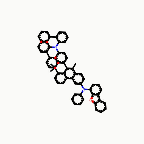 Cc1c2c3c(cccc3c3cc(N(c4ccccc4)c4cccc5c4oc4ccccc45)ccc13)C(C)(C)c1cc(N(c3ccccc3-c3ccccc3)c3ccccc3-c3ccccc3)ccc1-2